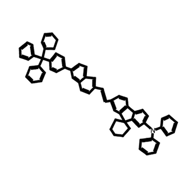 C1=CCCC(C(c2ccccc2)(c2ccccc2)c2ccc(-c3ccc4cc(/C=C/c5ccc6c(c5)C5(CCCCC5)c5cc(N(c7ccccc7)c7ccccc7)ccc5-6)ccc4c3)cc2)=C1